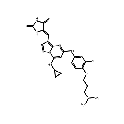 CN(C)CCCOc1ccc(Nc2cc(NC3CC3)n3ncc(/C=C4\NC(=O)NC4=O)c3n2)cc1Cl